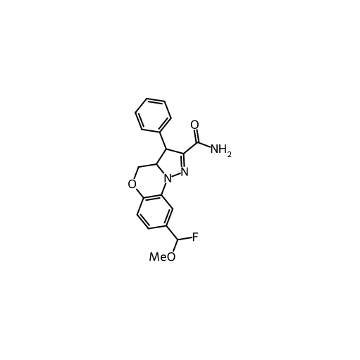 COC(F)c1ccc2c(c1)N1N=C(C(N)=O)C(c3ccccc3)C1CO2